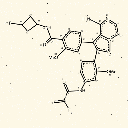 C=C(F)C(=O)Nc1ccc(-c2nn3ncnc(N)c3c2-c2ccc(C(=O)NC3CC(F)C3)c(OC)c2)c(OC)c1